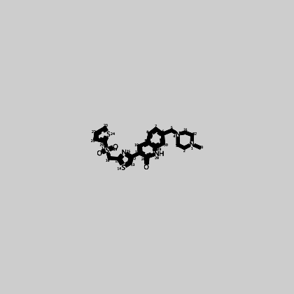 CN1CCN(Cc2ccc3cc(-c4csc(CS(=O)(=O)c5cccs5)n4)c(=O)[nH]c3c2)CC1